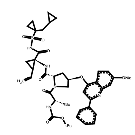 C=CC1C[C@]1(NC(=O)[C@@H]1C[C@@H](Oc2cc(-c3ccccc3)nc3cc(OC)ccc23)CN1C(=O)[C@@H](NC(=O)OC(C)(C)C)C(C)(C)C)C(=O)NS(=O)(=O)C1(CC2CC2)CC1